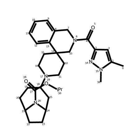 Cc1cc(C(=O)N2Cc3ccccc3C3(CCN(C4CCC5CCC(C4)N5C(=O)OC(C)C)CC3)C2)nn1C